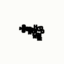 CCn1ncc2c(NC3CCOC(=O)C3)c(-c3nc(CNS(=O)(=O)C4CC4)no3)cnc21